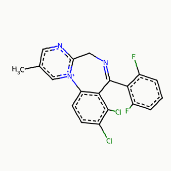 Cc1cnc2[n+](c1)-c1ccc(Cl)c(Cl)c1C(c1c(F)cccc1F)=NC2